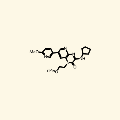 CCCOCCn1c(=O)c(NC2CCCC2)nc2ncc(-c3ccc(OC)nc3)cc21